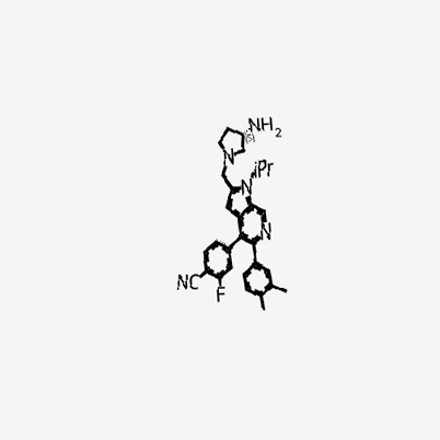 Cc1ccc(-c2ncc3c(cc(CN4CC[C@H](N)C4)n3C(C)C)c2-c2ccc(C#N)c(F)c2)cc1C